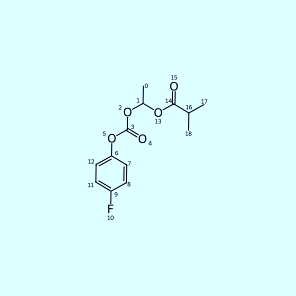 CC(OC(=O)Oc1ccc(F)cc1)OC(=O)C(C)C